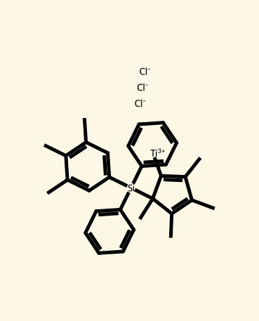 CC1=C(C)C(C)([Si](c2ccccc2)(c2ccccc2)c2cc(C)c(C)c(C)c2)[C]([Ti+3])=C1C.[Cl-].[Cl-].[Cl-]